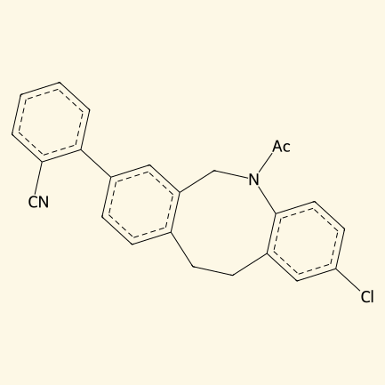 CC(=O)N1Cc2cc(-c3ccccc3C#N)ccc2CCc2cc(Cl)ccc21